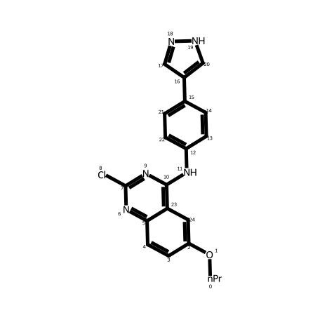 CCCOc1ccc2nc(Cl)nc(Nc3ccc(-c4cn[nH]c4)cc3)c2c1